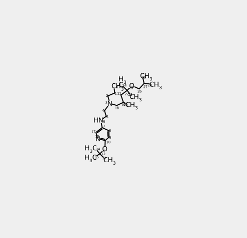 CCCN(CCNc1ccc(OC(C)(C)C)nc1)CC(C)CC(C)(C)OCC(C)C